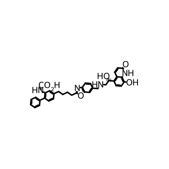 O=C(O)Nc1cc(CCCCc2nc3ccc(CNC[C@H](O)c4ccc(O)c5[nH]c(=O)ccc45)cc3o2)ccc1-c1ccccc1